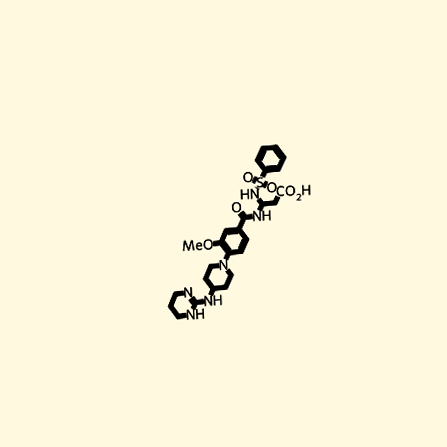 COc1cc(C(=O)NC(CC(=O)O)NS(=O)(=O)c2ccccc2)ccc1N1CCC(NC2=NCCCN2)CC1